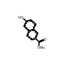 CC(C)COC(=O)c1ccc2cc(O)ccc2c1